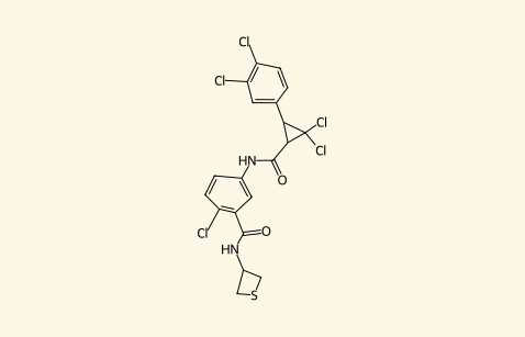 O=C(NC1CSC1)c1cc(NC(=O)C2C(c3ccc(Cl)c(Cl)c3)C2(Cl)Cl)ccc1Cl